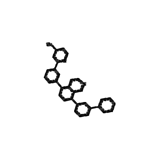 CC(C)(C)c1ccnc(-c2cccc(-c3ccc(-c4cccc(-c5ccccc5)c4)c4cnccc34)c2)c1